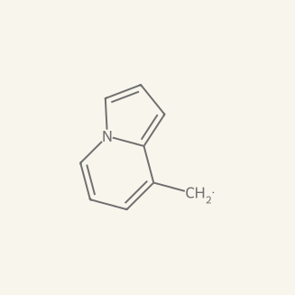 [CH2]c1cccn2cccc12